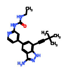 CCNC(=O)Nc1cc(-c2cc(C#CC(C)(C)C)c3[nH]nc(N)c3c2)ccn1